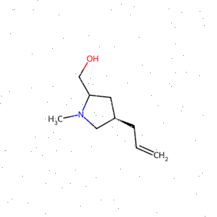 C=CC[C@@H]1CC(CO)N(C)C1